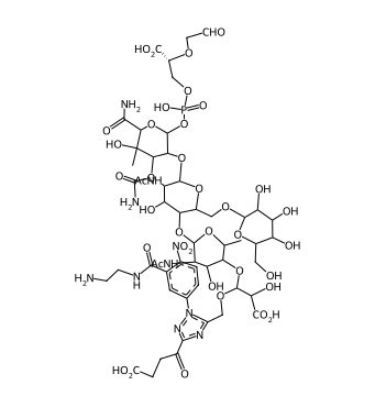 CC(=O)NC1C(OC2C(COC3OC(CO)C(O)C(O)C3O)OC(OC3C(OP(=O)(O)OC[C@@H](OCC=O)C(=O)O)OC(C(N)=O)C(C)(O)C3OC(N)=O)C(NC(C)=O)C2O)OC(C)C(OC(OCc2nc(C(=O)CCC(=O)O)nn2-c2ccc([N+](=O)[O-])c(C(=O)NCCN)c2)C(O)C(=O)O)C1O